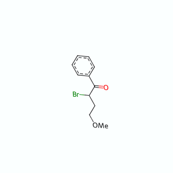 COCCC(Br)C(=O)c1ccccc1